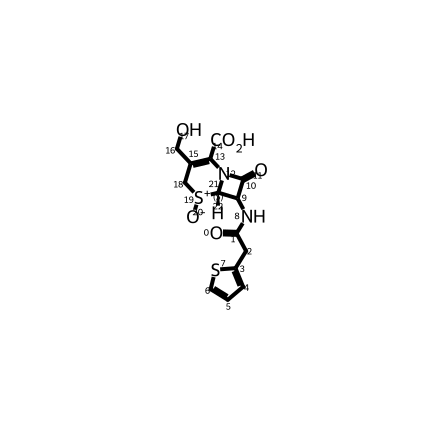 O=C(Cc1cccs1)NC1C(=O)N2C(C(=O)O)=C(CO)C[S+]([O-])[C@@H]12